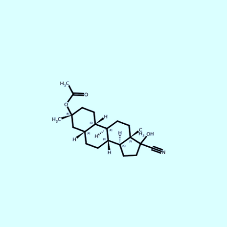 CC(=O)O[C@]1(C)CC[C@H]2[C@H](CC[C@@H]3[C@@H]2CC[C@@]2(C)[C@H]3CCC2(O)C#N)C1